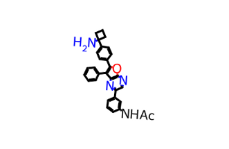 CC(=O)Nc1cccc(-c2cnc3oc(-c4ccc(C5(N)CCC5)cc4)c(-c4ccccc4)c3n2)c1